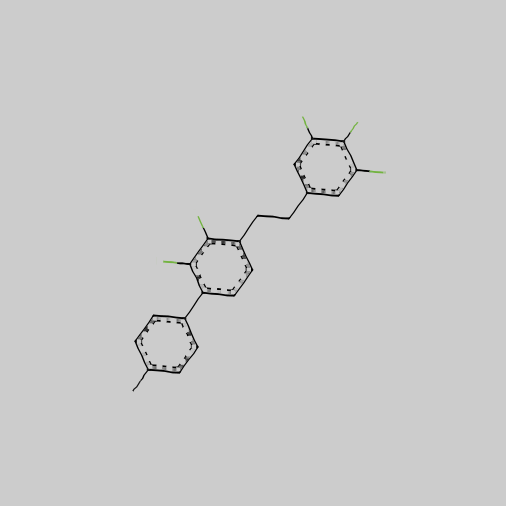 CCCc1ccc(-c2ccc(CCc3cc(F)c(F)c(F)c3)c(F)c2F)cc1